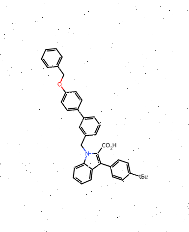 CC(C)(C)c1ccc(-c2c(C(=O)O)n(Cc3cccc(-c4ccc(OCc5ccccc5)cc4)c3)c3ccccc23)cc1